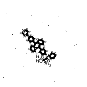 BC(B)(O)c1nc2ccccc2n1-c1ccc(-c2c3ccccc3c(-c3ccc(-c4ccncc4)cc3)c3ccccc23)cc1